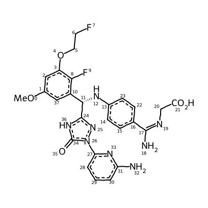 COc1cc(OCCF)c(F)c([C@H](Nc2ccc(/C(N)=N\CC(=O)O)cc2)c2nn(-c3cccc(N)n3)c(=O)[nH]2)c1